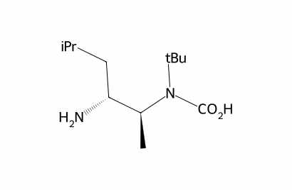 CC(C)C[C@@H](N)[C@H](C)N(C(=O)O)C(C)(C)C